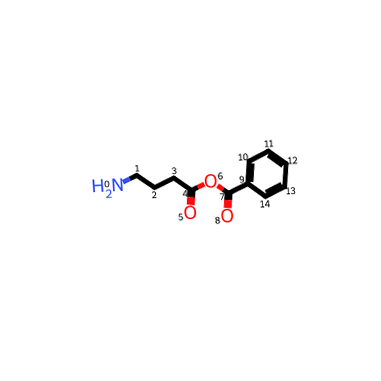 NCCCC(=O)OC(=O)c1ccccc1